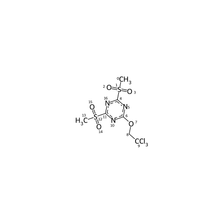 CS(=O)(=O)c1nc(OCC(Cl)(Cl)Cl)nc(S(C)(=O)=O)n1